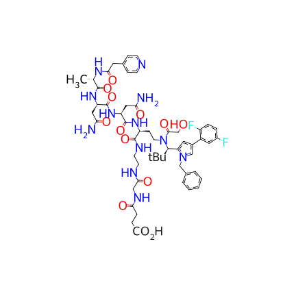 C[C@H](NC(=O)Cc1ccncc1)C(=O)N[C@H](CC(N)=O)C(=O)N[C@@H](CC(N)=O)C(=O)N[C@@H](CCN(C(=O)CO)[C@@H](c1cc(-c2cc(F)ccc2F)cn1Cc1ccccc1)C(C)(C)C)C(=O)NCCNC(=O)CNC(=O)CCC(=O)O